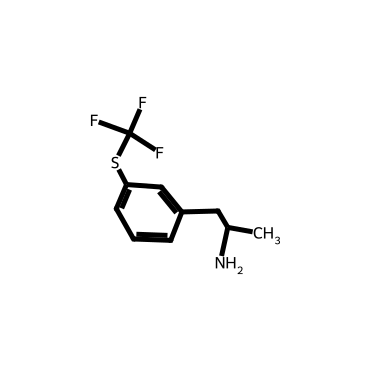 CC(N)Cc1cccc(SC(F)(F)F)c1